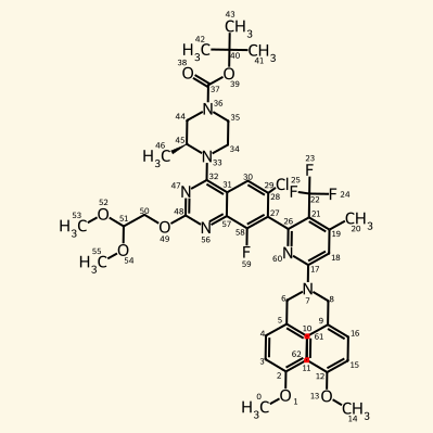 COc1ccc(CN(Cc2ccc(OC)cc2)c2cc(C)c(C(F)(F)F)c(-c3c(Cl)cc4c(N5CCN(C(=O)OC(C)(C)C)C[C@@H]5C)nc(OCC(OC)OC)nc4c3F)n2)cc1